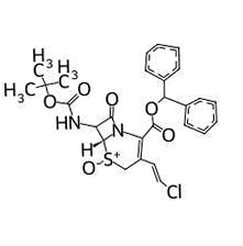 CC(C)(C)OC(=O)NC1C(=O)N2C(C(=O)OC(c3ccccc3)c3ccccc3)=C(/C=C/Cl)C[S+]([O-])[C@H]12